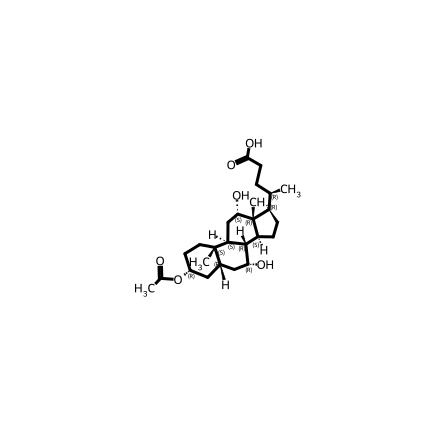 CC(=O)O[C@@H]1CC[C@@]2(C)[C@@H](C1)C[C@@H](O)[C@@H]1[C@@H]2C[C@H](O)[C@]2(C)[C@@H]([C@H](C)CCC(=O)O)CC[C@@H]12